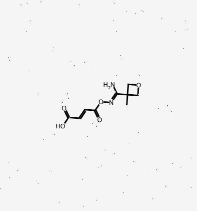 CC1(/C(N)=N/OC(=O)C=CC(=O)O)COC1